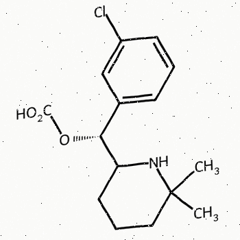 CC1(C)CCCC([C@H](OC(=O)O)c2cccc(Cl)c2)N1